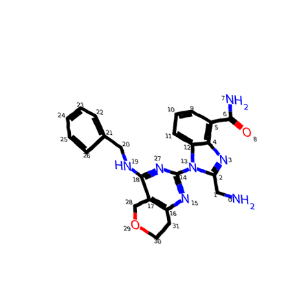 NCc1nc2c(C(N)=O)cccc2n1-c1nc2c(c(NCc3ccccc3)n1)COCC2